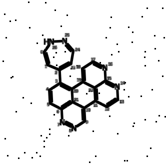 C1=CC(c2ccc3nncc4c5ccnc6nccc(c2c34)c65)=CC=NN1